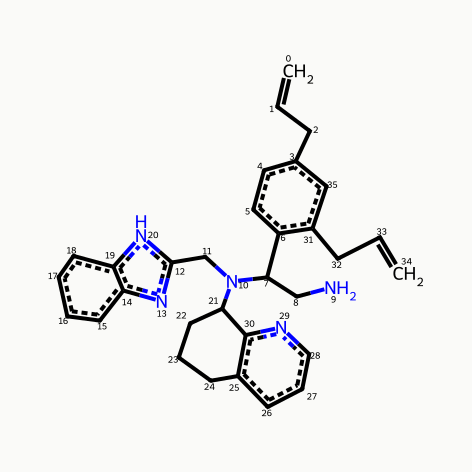 C=CCc1ccc(C(CN)N(Cc2nc3ccccc3[nH]2)C2CCCc3cccnc32)c(CC=C)c1